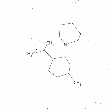 CC1CCC(C(C)C)C(N2CCCCC2)C1